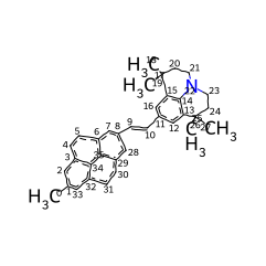 Cc1cc2ccc3cc(C=Cc4cc5c6c(c4)C(C)(C)CCN6CCC5(C)C)cc4ccc(c1)c2c34